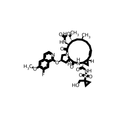 CC[C@@H]1C[C@@H](C)CCC=C[C@@H]2C[C@@]2(C(=O)NS(=O)(=O)C2(CO)CC2)NC(=O)[C@@H]2C[C@@H](Oc3nccc4cc(OC)c(F)cc34)CN2C(=O)[C@H]1NC(=O)O